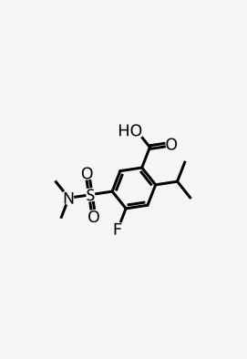 CC(C)c1cc(F)c(S(=O)(=O)N(C)C)cc1C(=O)O